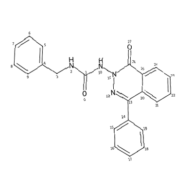 O=C(NCc1ccccc1)Nn1nc(-c2ccccc2)c2ccccc2c1=O